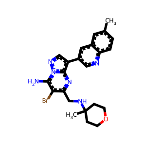 Cc1ccc2ncc(-c3cnn4c(N)c(Br)c(CNC5(C)CCOCC5)nc34)cc2c1